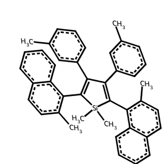 Cc1cccc(C2=C(c3c(C)ccc4ccccc34)[Si](C)(C)C(c3c(C)ccc4ccccc34)=C2c2cccc(C)c2)c1